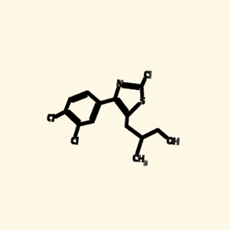 CC(CO)Cc1sc(Cl)nc1-c1ccc(Cl)c(Cl)c1